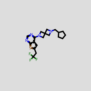 FC(F)(F)Cc1cc2c(N3CC4(CN(CC5CCCC5)C4)C3)ncnc2s1